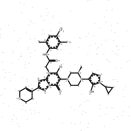 CCc1c(N2CCN(c3cnn(C4CC4)c3O)[C@H](C)C2)c(=O)n2nc(C3=CCOCC3)nc2n1CC(=O)Nc1cc(F)c(C(F)(F)F)cc1C